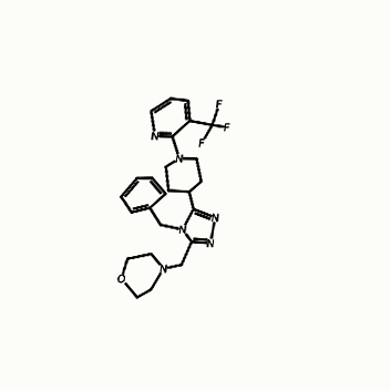 FC(F)(F)c1cccnc1N1CCC(c2nnc(CN3CCOCC3)n2Cc2ccccc2)CC1